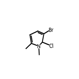 CC1=CC=C(Br)C(Cl)N1C